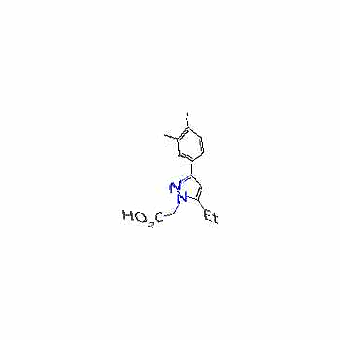 CCc1cc(-c2ccc(C)c(C)c2)nn1CC(=O)O